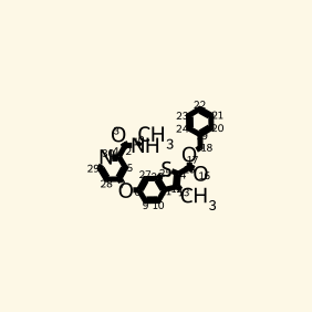 CNC(=O)c1cc(Oc2ccc3c(C)c(C(=O)OCc4ccccc4)sc3c2)ccn1